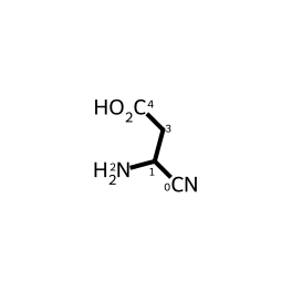 N#CC(N)CC(=O)O